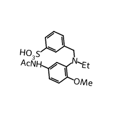 CCN(Cc1cccc(S(=O)(=O)O)c1)c1cc(NC(C)=O)ccc1OC